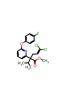 COC(=O)C(CC=C(Cl)Cl)(c1cccc(Oc2ccc(F)cc2)n1)C(C)C